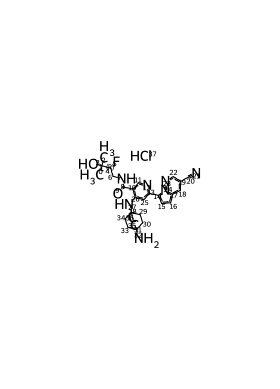 CC(C)(O)[C@H](F)CNC(=O)c1cnc(-c2ccc3cc(C#N)cnn23)cc1NC12CCC(N)(CC1)CC2.Cl